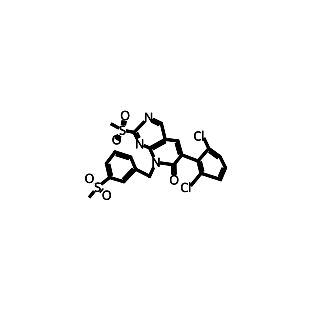 CS(=O)(=O)c1cccc(Cn2c(=O)c(-c3c(Cl)cccc3Cl)cc3cnc(S(C)(=O)=O)nc32)c1